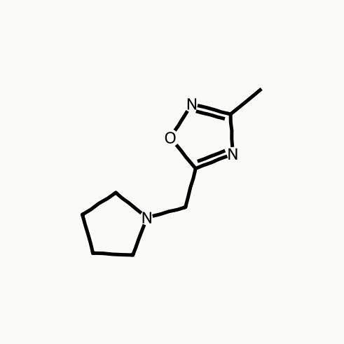 Cc1noc(CN2CCCC2)n1